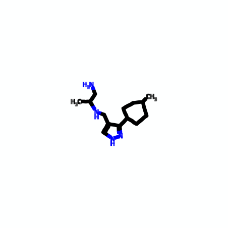 CC1CCC(c2n[nH]cc2CNC(C)CN)CC1